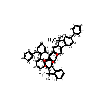 CC1(C)c2ccccc2-c2cc(N(c3ccc4c(c3)C(C)(C)c3cc(-c5ccccc5)ccc3-4)c3cccc(-c4ccccc4)c3-c3ccccc3-c3ccccc3)ccc21